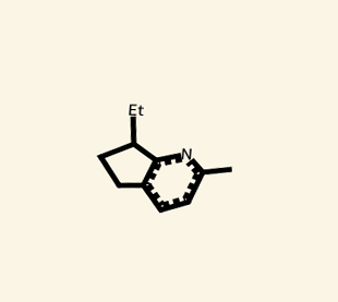 CCC1CCc2ccc(C)nc21